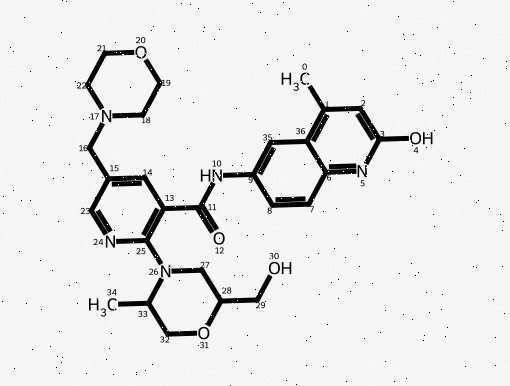 Cc1cc(O)nc2ccc(NC(=O)c3cc(CN4CCOCC4)cnc3N3CC(CO)OCC3C)cc12